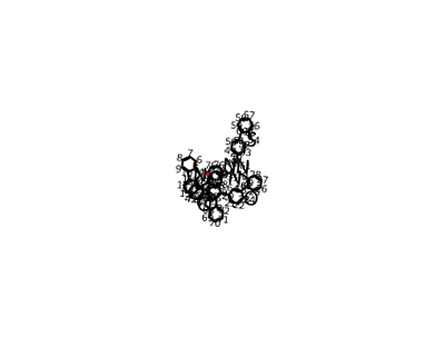 c1ccc(-n2c3ccccc3c3cccc(-c4ccc(-c5ccc6oc7cccc(-c8nc(-c9ccc%10c(c9)sc9ccccc9%10)nc(-c9ccc%10c(c9)sc9ccccc9%10)n8)c7c6c5)c5c4oc4ccccc45)c32)cc1